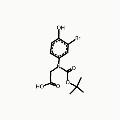 CC(C)(C)OC(=O)N(CC(=O)O)c1ccc(O)c(Br)c1